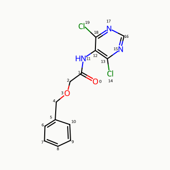 O=C(COCc1ccccc1)Nc1c(Cl)ncnc1Cl